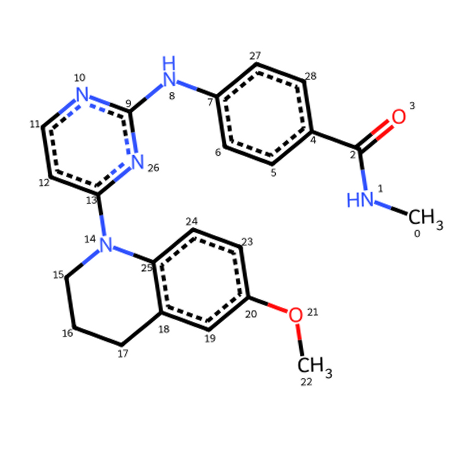 CNC(=O)c1ccc(Nc2nccc(N3CCCc4cc(OC)ccc43)n2)cc1